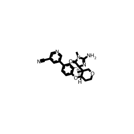 CN1C(=O)[C@]2(N=C1N)c1cc(-c3cncc(C#N)c3)ccc1O[C@H]1CCOCC12C